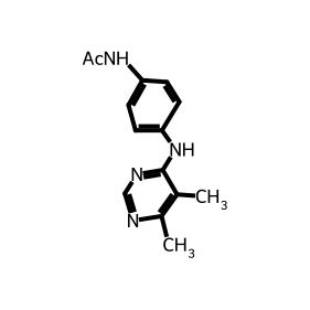 CC(=O)Nc1ccc(Nc2ncnc(C)c2C)cc1